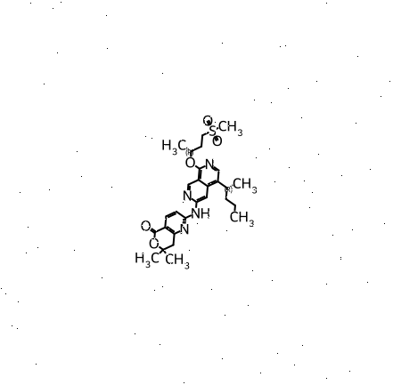 CCC[C@@H](C)c1cnc(O[C@H](C)CCS(C)(=O)=O)c2cnc(Nc3ccc4c(n3)CC(C)(C)OC4=O)cc12